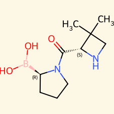 CC1(C)CN[C@@H]1C(=O)N1CCC[C@H]1B(O)O